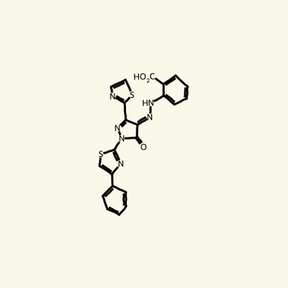 O=C(O)c1ccccc1N/N=C1/C(=O)N(c2nc(-c3ccccc3)cs2)N=C1c1nccs1